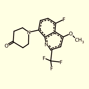 COc1cc(C(F)(F)F)nc2c(N3CCC(=O)CC3)ccc(F)c12